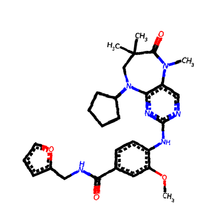 COc1cc(C(=O)NCc2ccco2)ccc1Nc1ncc2c(n1)N(C1CCCC1)CC(C)(C)C(=O)N2C